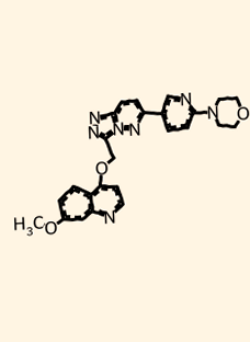 COc1ccc2c(OCc3nnc4ccc(-c5ccc(N6CCOCC6)nc5)nn34)ccnc2c1